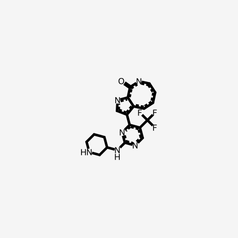 O=c1nccccc2c(-c3nc(NC4CCCNC4)ncc3C(F)(F)F)cnc1-2